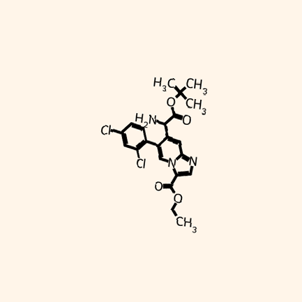 CCOC(=O)c1cnc2cc(C(N)C(=O)OC(C)(C)C)c(-c3ccc(Cl)cc3Cl)cn12